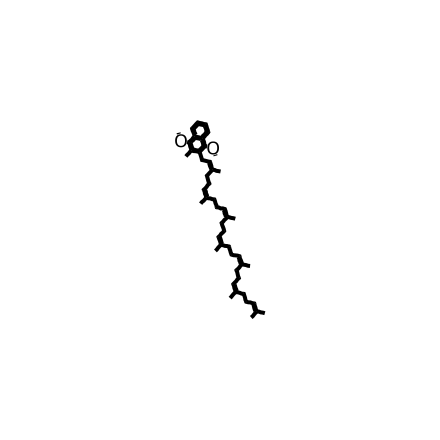 COc1c(C)c(CC=C(C)CCC=C(C)CCC=C(C)CCC=C(C)CCC=C(C)CCC=C(C)CCC=C(C)C)c(OC)c2ccccc12